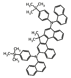 CC1(C)c2cc(N(c3ccc([Si](C)(C)C)cc3)c3cccc4ccccc34)c3ccccc3c2-c2c1cc(N(c1ccc([Si](C)(C)C)cc1)c1cccc3ccccc13)c1ccccc21